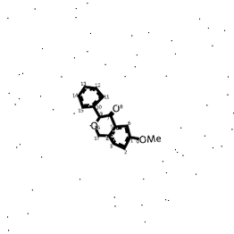 COc1ccc2c(c1)C(=O)C(c1ccccc1)OC2